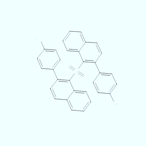 O=S(=O)(c1c(-c2ccc(O)cc2)ccc2ccccc12)c1c(-c2ccc(O)cc2)ccc2ccccc12